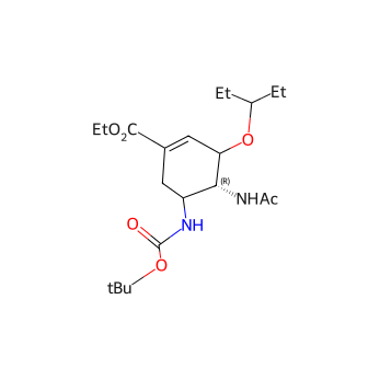 CCOC(=O)C1=CC(OC(CC)CC)[C@H](NC(C)=O)C(NC(=O)OC(C)(C)C)C1